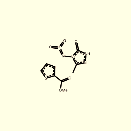 COC(=O)c1cccs1.Cc1n[nH]c(=O)n1N=S(=O)=O